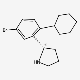 Brc1ccc(C2CCCCC2)c([C@@H]2CCCN2)c1